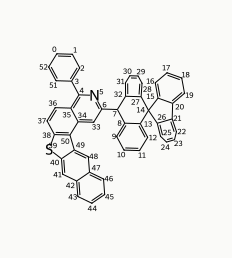 c1ccc(-c2nc(C3c4ccccc4C4(c5ccccc5-c5ccccc54)c4ccccc43)cc3c2ccc2sc4cc5ccccc5cc4c23)cc1